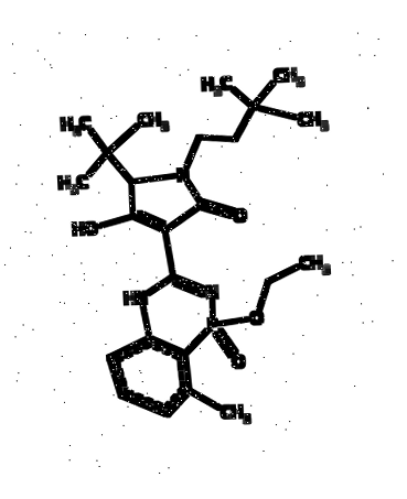 CCOP1(=O)N=C(C2=C(O)C(C(C)(C)C)N(CCC(C)(C)C)C2=O)Nc2cccc(C)c21